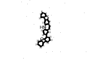 C1=Cc2cc3sc4ccccc4c3cc2Nc2ccc(-c3cccc4c3oc3ccccc34)cc21